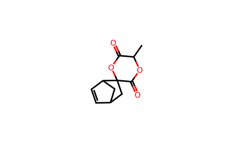 CC1OC(=O)C2(CC3C=CC2C3)OC1=O